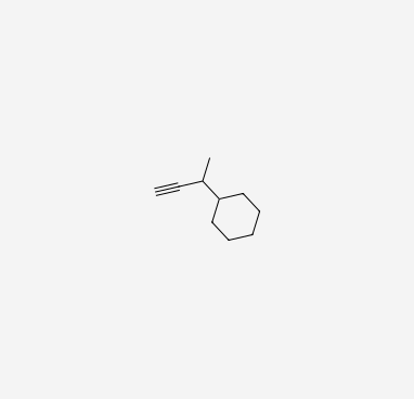 C#CC(C)C1CCCCC1